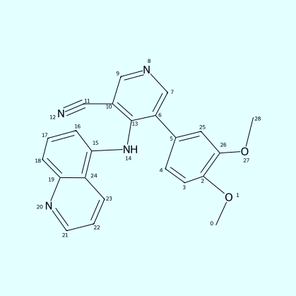 COc1ccc(-c2cncc(C#N)c2Nc2cccc3ncccc23)cc1OC